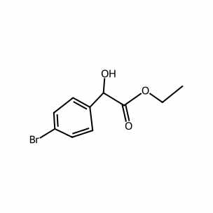 CCOC(=O)C(O)c1ccc(Br)cc1